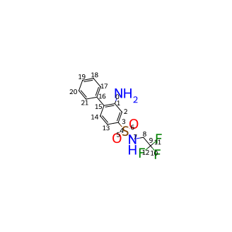 Nc1cc(S(=O)(=O)NCC(F)(F)F)ccc1-c1ccccc1